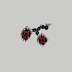 Cc1ccc([S+](c2ccc(C)cc2)c2ccc(Sc3ccc(-c4ccccc4[IH+])cc3)cc2)cc1.Fc1c(F)c(F)c([B-](c2c(F)c(F)c(F)c(F)c2F)(c2c(F)c(F)c(F)c(F)c2F)c2c(F)c(F)c(F)c(F)c2F)c(F)c1F.Fc1c(F)c(F)c([B-](c2c(F)c(F)c(F)c(F)c2F)(c2c(F)c(F)c(F)c(F)c2F)c2c(F)c(F)c(F)c(F)c2F)c(F)c1F